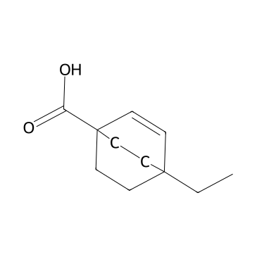 CCC12C=CC(C(=O)O)(CC1)CC2